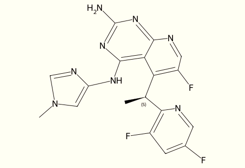 C[C@H](c1ncc(F)cc1F)c1c(F)cnc2nc(N)nc(Nc3cn(C)cn3)c12